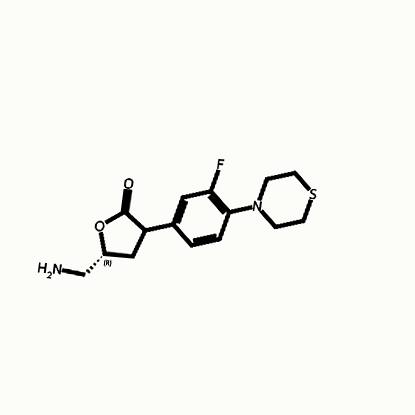 NC[C@H]1CC(c2ccc(N3CCSCC3)c(F)c2)C(=O)O1